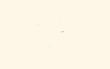 CC(C)(C)C1C[C@H](O)[C@H](O)[C@@H](CO)O1